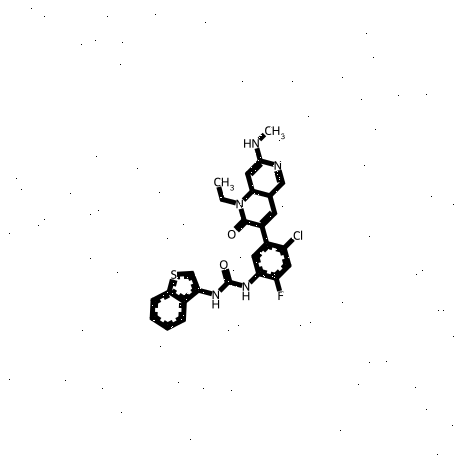 CCN1C(=O)C(c2cc(NC(=O)Nc3csc4ccccc34)c(F)cc2Cl)=CC2C=NC(NC)=CC21